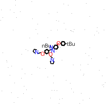 CCCCn1c(-c2ccc(OCCN3CCCC3)cc2OCCN2CCCC2)nc2ccc(Oc3ccc(C(C)(C)C)cc3)cc21